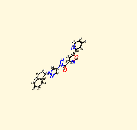 O=C(Nc1cnn(C2CCc3ccccc32)c1)c1cc(-c2ccccn2)on1